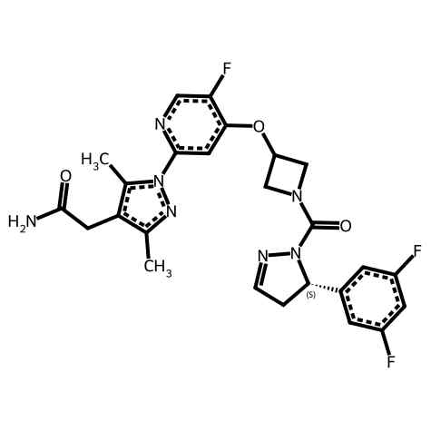 Cc1nn(-c2cc(OC3CN(C(=O)N4N=CC[C@H]4c4cc(F)cc(F)c4)C3)c(F)cn2)c(C)c1CC(N)=O